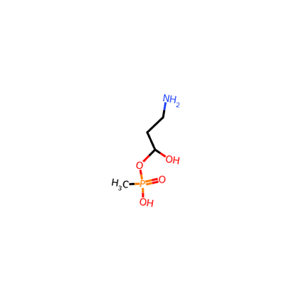 CP(=O)(O)OC(O)CCN